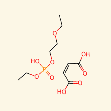 CCOCCOP(=O)(O)OCC.O=C(O)/C=C\C(=O)O